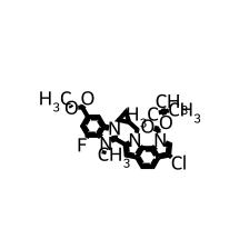 COC(=O)c1cc(F)c2c(c1)nc(-c1cc3ccc4c(Cl)cn(C(=O)OC(C)(C)C)c4c3n1CC1CC1)n2C